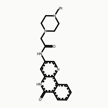 CC(C)N1CCN(CC(=O)Nc2cnc3c(c2)[nH]c(=O)c2ccccc23)CC1